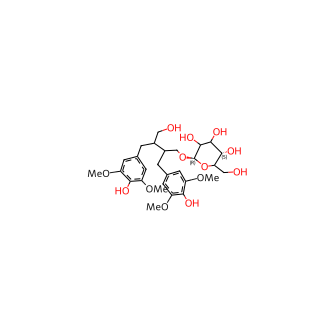 COc1cc(CC(CO)C(CO[C@@H]2OC(CO)[C@@H](O)C(O)C2O)Cc2cc(OC)c(O)c(OC)c2)cc(OC)c1O